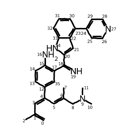 C=C(C)/C=C(\C=C(/C)CN(C)C)c1ccc(N)c(C(=N)c2cc3c(-c4ccncc4)cccc3[nH]2)c1